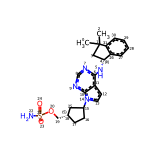 CC1(C)C[C@@H](Nc2ncnc3c2ccn3C2CC[C@H](COS(N)(=O)=O)C2)c2ccccc21